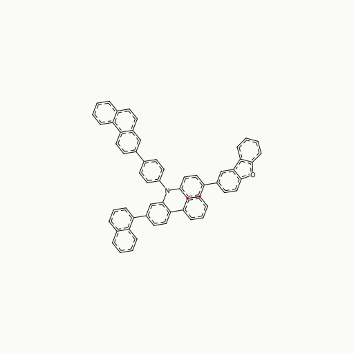 c1ccc(-c2ccc(-c3cccc4ccccc34)cc2N(c2ccc(-c3ccc4c(ccc5ccccc54)c3)cc2)c2ccc(-c3ccc4oc5ccccc5c4c3)cc2)cc1